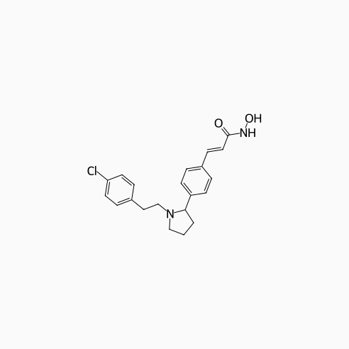 O=C(/C=C/c1ccc(C2CCCN2CCc2ccc(Cl)cc2)cc1)NO